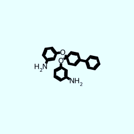 Nc1cccc(OC2(Oc3cccc(N)c3)C=CC(c3ccccc3)=CC2)c1